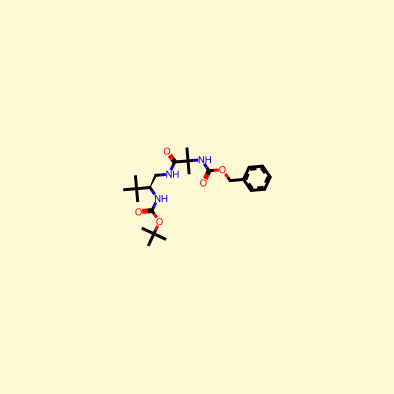 CC(C)(C)OC(=O)N[C@H](CNC(=O)C(C)(C)NC(=O)OCc1ccccc1)C(C)(C)C